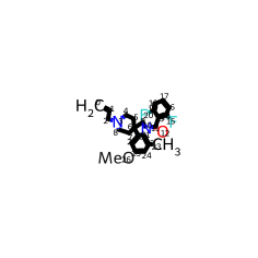 C=CCN1CCC2(CC1)CN(C(=O)c1c(F)cccc1F)c1c(C)cc(OC)cc12